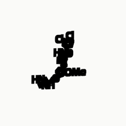 COc1cc(OCCC2CNCCN2)ccc1CN1CCC(NC(=O)c2ccc(Cl)c(Cl)c2)C1